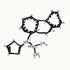 [CH3][SnH]([CH3])[Hf]([C]1=CC=CC1)[c]1cccc2c1Cc1ccccc1-2